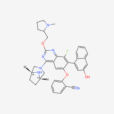 CN1CCCC1COc1nc(N2C[C@H]3CC[C@@H](C2)N3)c2cc(Oc3ccccc3C#N)c(-c3cc(O)cc4ccccc34)c(F)c2n1